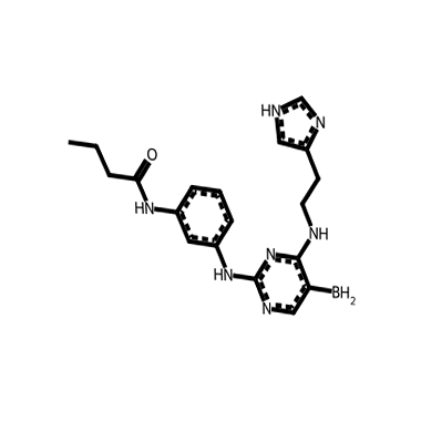 Bc1cnc(Nc2cccc(NC(=O)CCC)c2)nc1NCCc1c[nH]cn1